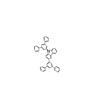 c1ccc(-c2cc(-c3ccccc3)cc(-c3ccc4c(c3)c3ccccc3n4-c3cc(-c4ccccc4)cc(-c4ccccc4)c3)c2)cc1